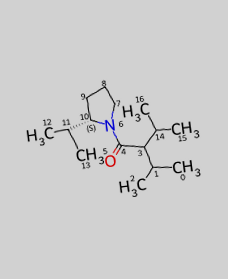 CC(C)C(C(=O)N1CCC[C@H]1C(C)C)C(C)C